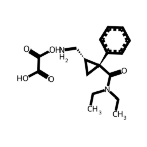 CCN(CC)C(=O)[C@]1(c2ccccc2)C[C@@H]1CN.O=C(O)C(=O)O